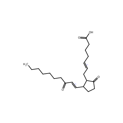 CCCCCCCC(=O)/C=C/C1CCC(=O)C1C/C=C/CCCC(=O)O